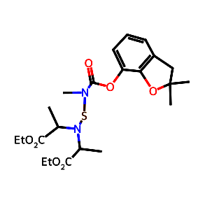 CCOC(=O)C(C)N(SN(C)C(=O)Oc1cccc2c1OC(C)(C)C2)C(C)C(=O)OCC